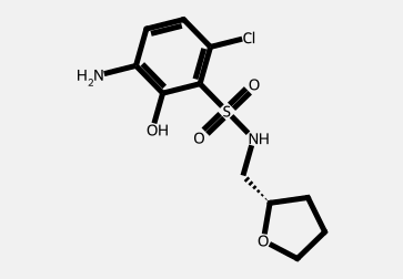 Nc1ccc(Cl)c(S(=O)(=O)NC[C@@H]2CCCO2)c1O